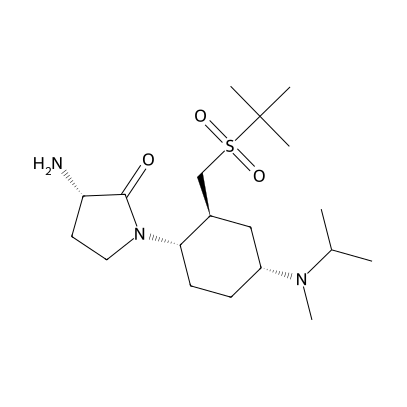 CC(C)N(C)[C@@H]1CC[C@H](N2CC[C@H](N)C2=O)[C@@H](CS(=O)(=O)C(C)(C)C)C1